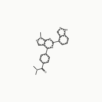 CN(C)C(=O)c1ccc(-c2nc(-c3cccc4[nH]ncc34)nc3c2cnn3C)cc1